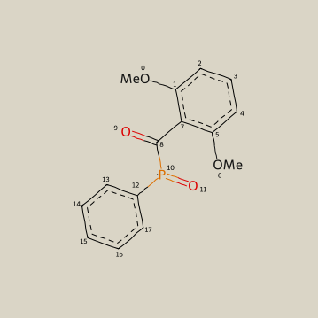 COc1cccc(OC)c1C(=O)[P](=O)c1ccccc1